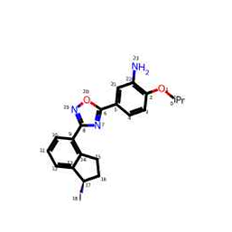 CC(C)Oc1ccc(-c2nc(-c3cccc4c3CC[C@H]4I)no2)cc1N